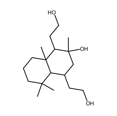 CC1(C)CCCC2(C)C1C(CCO)CC(C)(O)C2CCO